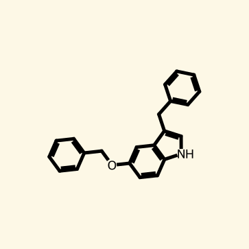 c1ccc(COc2ccc3[nH]cc(Cc4ccccc4)c3c2)cc1